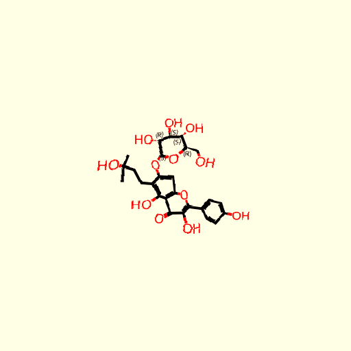 CC(C)(O)CCc1c(O[C@@H]2O[C@H](CO)[C@@H](O)[C@H](O)[C@H]2O)cc2oc(-c3ccc(O)cc3)c(O)c(=O)c2c1O